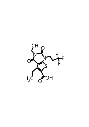 CCc1c(C(=O)O)sc2c1c(=O)n(CC)c(=O)n2CCC(F)(F)F